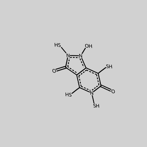 O=c1c(S)c2c(c(S)n1S)c(=O)n(S)n2O